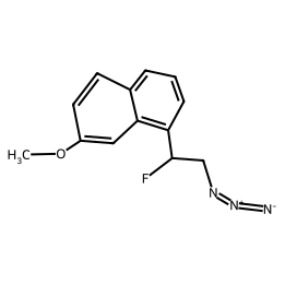 COc1ccc2cccc(C(F)CN=[N+]=[N-])c2c1